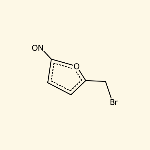 O=Nc1ccc(CBr)o1